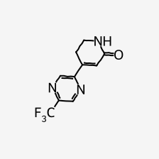 O=C1C=C(c2cnc(C(F)(F)F)cn2)CCN1